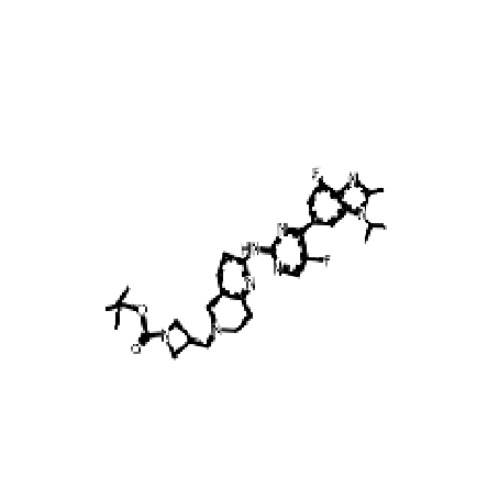 Cc1nc2c(F)cc(-c3nc(Nc4ccc5c(n4)CCN(CC4CN(C(=O)OC(C)(C)C)C4)C5)ncc3F)cc2n1C(C)C